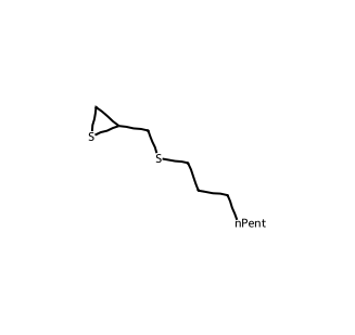 CCCCCCCCSCC1CS1